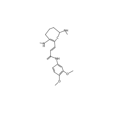 C=C(/C=C/C1=C(NC)CCCC(NC)C1)Nc1ccc(OC)c(OC)c1